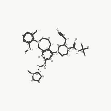 COc1cccc(F)c1N1CCCc2c(nc(OC[C@@H]3CCCN3C)nc2N2CCN(C(=O)OC(C)(C)C)C(CC#N)C2)C1